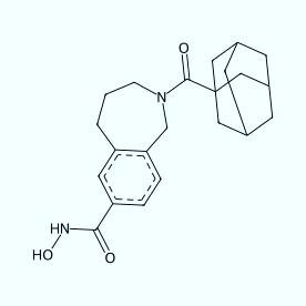 O=C(NO)c1ccc2c(c1)CCCN(C(=O)C13CC4CC(CC(C4)C1)C3)C2